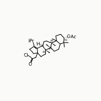 CC(=O)O[C@H]1CCC2(C)C(CC[C@]3(C)[C@]4(C)CCC5(CC(=O)Cl)CCC(C(C)C)=C5[C@H]4CC[C@]23C)C1(C)C